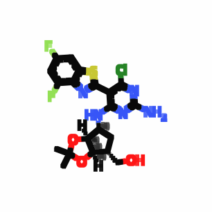 CC1(C)O[C@@H]2[C@@H](CO)C[C@@H](Nc3nc(N)nc(Cl)c3-c3nc4c(F)cc(F)cc4s3)[C@@H]2O1